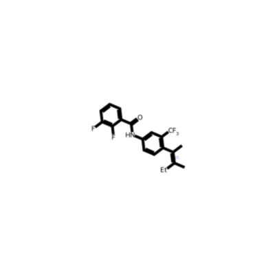 CC/C(C)=C(/C)c1ccc(NC(=O)c2cccc(F)c2F)cc1C(F)(F)F